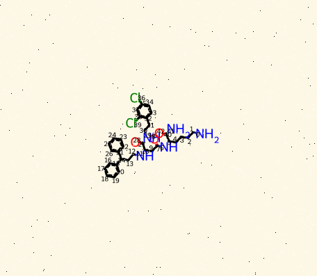 NCCCCC(NC(=O)CC(NCCC(c1ccccc1)c1ccccc1)C(=O)NCCc1ccc(Cl)cc1Cl)C(N)=O